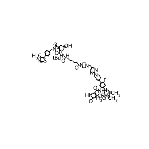 Cc1ncsc1-c1ccc(CNC(=O)[C@@H]2C[C@@H](O)CN2C(=O)C(NC(=O)CCCCCC(=O)N2CCN(Cc3cnc(N4CC=C(c5cc(NC(=O)c6c[nH]c(=O)cc6C(F)(F)F)c(N6C[C@@H](C)N(C)[C@@H](C)C6)cc5F)CC4)nc3)CC2)C(C)(C)C)cc1